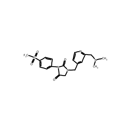 CN(C)Cc1cc(CN2CC(=O)N(c3ccc(S(=O)(=O)C(F)(F)F)cc3)C2=O)ccn1